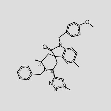 COc1ccc(CN2C(=O)C3(C[C@H](C)N(Cc4ccccc4)[C@H](c4cn(C)nn4)C3)c3cc(C)ccc32)cc1